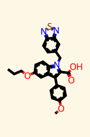 CCCOc1ccc2c(c1)c(-c1ccc(OC)cc1)c(C(=O)O)n2Cc1ccc2nsnc2c1